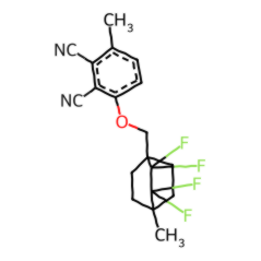 Cc1ccc(OCC23CCC(C)(CC2)C(F)(F)C3(F)F)c(C#N)c1C#N